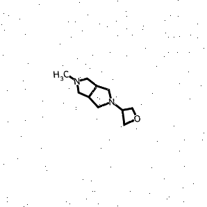 CN1CC2CN(C3COC3)CC2C1